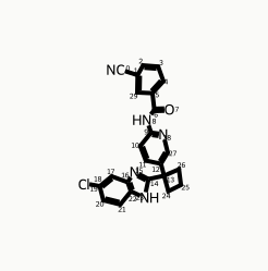 N#Cc1cccc(C(=O)Nc2ccc(C3(c4nc5cc(Cl)ccc5[nH]4)CCC3)cn2)c1